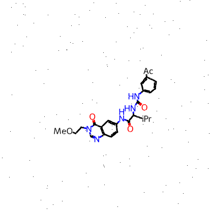 COCCn1cnc2ccc(NC(=O)C(NC(=O)Nc3cccc(C(C)=O)c3)C(C)C)cc2c1=O